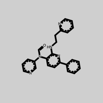 O=CN(c1cccnc1)c1ccc(-c2ccccc2)nc1NCCc1ccccn1